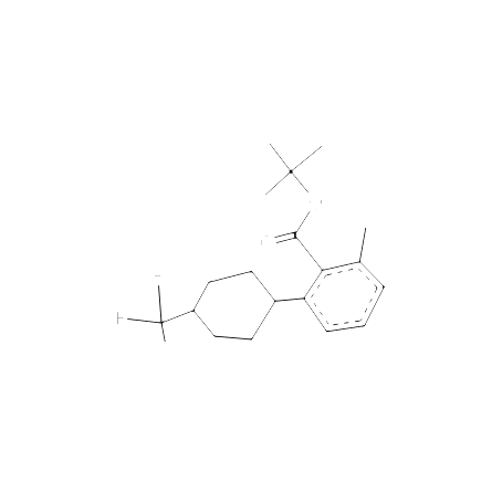 Cc1cccc(C2CCC(C(F)(F)F)CC2)c1C(=O)OC(C)(C)C